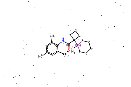 Cc1cc(C#N)cc(C)c1NC(=O)C1([PH]2(C)CCCCC2)CCC1